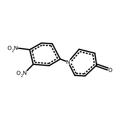 O=c1ccn(-c2ccc([N+](=O)[O-])c([N+](=O)[O-])c2)cc1